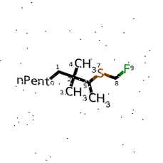 CCCCCCC(C)(C)C(C)SCF